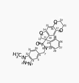 Cn1nnc2cc(CN3C(=O)C4(COc5cc6c(cc54)OCCO6)c4ccccc43)ccc21